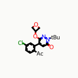 CC(=O)c1ccc(Cl)cc1-c1cc(=O)n(C(C)(C)C)nc1OC1COC1